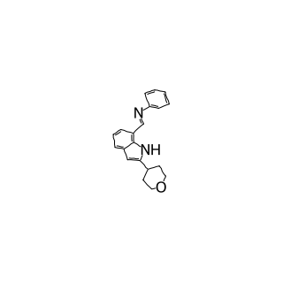 C(=N\c1ccccc1)/c1cccc2cc(C3CCOCC3)[nH]c12